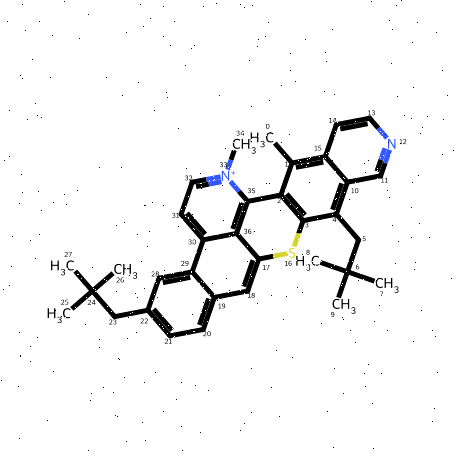 Cc1c2c(c(CC(C)(C)C)c3cnccc13)Sc1cc3ccc(CC(C)(C)C)cc3c3cc[n+](C)c-2c13